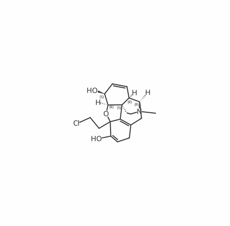 CN1CC[C@]23C4=C5CC=C(O)C4(CCCl)O[C@H]2[C@@H](O)C=C[C@H]3[C@H]1C5